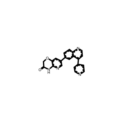 O=C1COc2cc(-c3ccc4nccc(-c5ccncc5)c4c3)cnc2N1